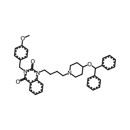 COc1ccc(Cn2c(=O)c3ccccc3n(CCCCN3CCC(OC(c4ccccc4)c4ccccc4)CC3)c2=O)cc1